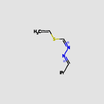 C=CS/C=N\N=C\C(C)C